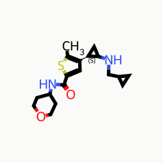 Cc1sc(C(=O)NC2CCOCC2)cc1[C@@H]1CC1NCC1CC1